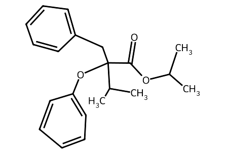 CC(C)OC(=O)C(Cc1ccccc1)(Oc1ccccc1)C(C)C